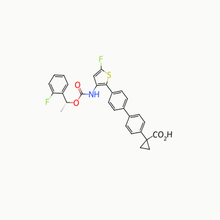 C[C@@H](OC(=O)Nc1cc(F)sc1-c1ccc(-c2ccc(C3(C(=O)O)CC3)cc2)cc1)c1ccccc1F